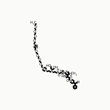 CCCOCCOCCOCCOCCn1cc(COCCOCCOCCOCCN2CCN(CCCN(CCCNC(=O)c3ncn(-c4ncc(OC)c5c(C(=O)C(=O)N6CCC(=C(C#N)c7ccccc7)CC6)c[nH]c45)n3)C(CO)CCO)CC2)nn1